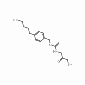 CC(C)CC(=O)CNC(=O)OCc1ccc(CCCCN)cc1